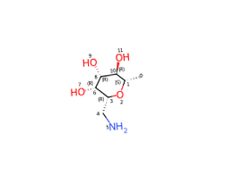 C[C@@H]1O[C@H](CN)[C@H](O)[C@H](O)[C@H]1O